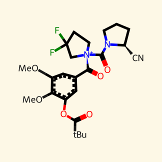 COc1cc(C(=O)[N@+]2(C(=O)N3CCC[C@H]3C#N)CCC(F)(F)C2)cc(OC(=O)C(C)(C)C)c1OC